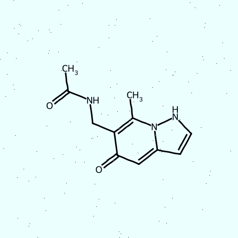 CC(=O)NCc1c(C)n2[nH]ccc2cc1=O